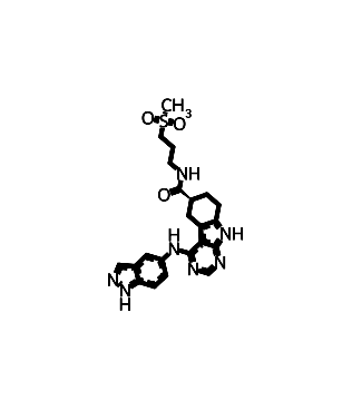 CS(=O)(=O)CCCNC(=O)[C@H]1CCc2[nH]c3ncnc(Nc4ccc5[nH]ncc5c4)c3c2C1